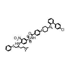 CN(C)CC[C@@H](CSc1ccccc1)Nc1ccc(S(=O)(=O)NC(=O)c2ccc(N3CCC(N(C)c4ccccc4-c4ccc(Cl)cc4)CC3)cc2)cc1[N+](=O)[O-]